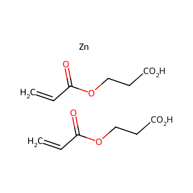 C=CC(=O)OCCC(=O)O.C=CC(=O)OCCC(=O)O.[Zn]